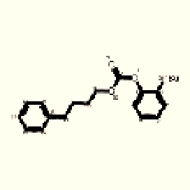 CCCCc1ccccc1OC(=O)OCCCCc1ccccc1